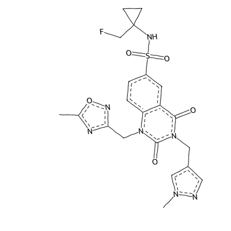 Cc1nc(Cn2c(=O)n(Cc3cnn(C)c3)c(=O)c3cc(S(=O)(=O)NC4(CF)CC4)ccc32)no1